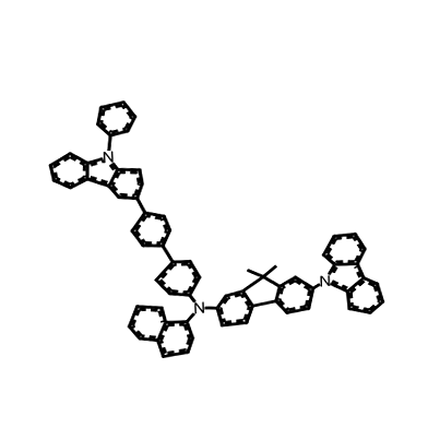 CC1(C)c2cc(N(c3ccc(-c4ccc(-c5ccc6c(c5)c5ccccc5n6-c5ccccc5)cc4)cc3)c3cccc4ccccc34)ccc2-c2ccc(-n3c4ccccc4c4ccccc43)cc21